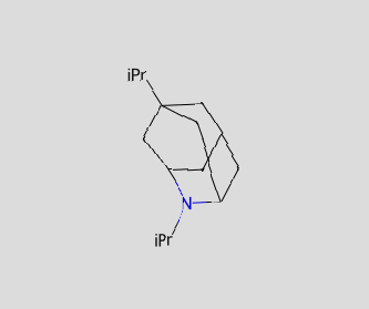 CC(C)N1C2CC3CC1CC(C(C)C)(C3)C2